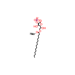 CCCCCCCCCCCCCCCC(=O)OC[C@H](O)[C@H]1OC(=O)C(OP(=O)([O-])[O-])=C1O.[Na+].[Na+]